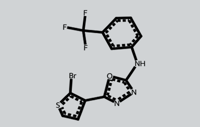 FC(F)(F)c1cccc(Nc2nnc(-c3ccsc3Br)o2)c1